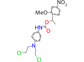 COc1cc([N+](=O)[O-])ccc1C(C)OC(=O)Nc1ccc(N(CCCl)CCCl)cc1